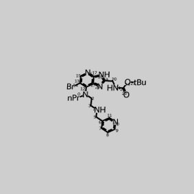 CCCN(CCNCc1cccnc1)c1c(Br)cnc2[nH]c(CNC(=O)OC(C)(C)C)nc12